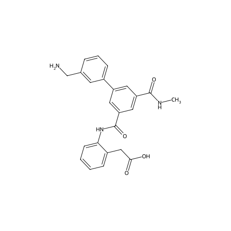 CNC(=O)c1cc(C(=O)Nc2ccccc2CC(=O)O)cc(-c2cccc(CN)c2)c1